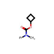 CC(C)N(C)C(=O)OC1CCC1